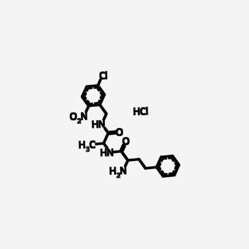 CC(NC(=O)C(N)CCc1ccccc1)C(=O)NCc1cc(Cl)ccc1[N+](=O)[O-].Cl